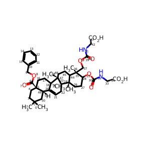 CC1(C)CC[C@]2(C(=O)OCc3ccccc3)CC[C@]3(C)C(=CCC4[C@@]5(C)CCC(OC(=O)NCC(=O)O)[C@@](C)(COC(=O)NCC(=O)O)C5CC[C@]43C)[C@@H]2C1